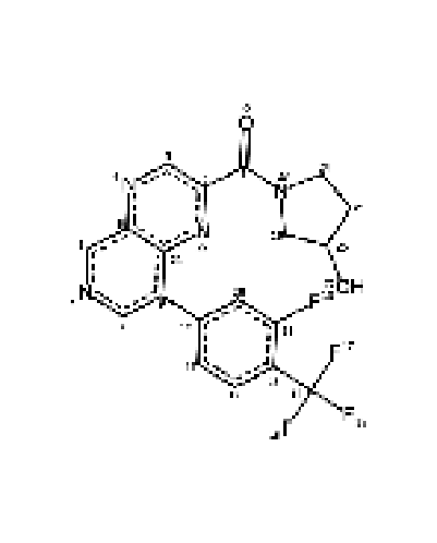 O=C(c1cnc2cncc(-c3ccc(C(F)(F)F)c(F)c3)c2n1)N1CCC(O)C1